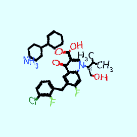 C1CCC(C2CCCCC2)CC1.CC(C)[C@@H](CO)n1cc(C(=O)O)c(=O)c2cc(Cc3cccc(Cl)c3F)c(F)cc21.N